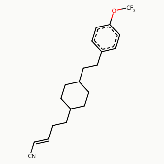 N#CC=CCCC1CCC(CCc2ccc(OC(F)(F)F)cc2)CC1